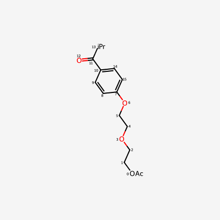 CC(=O)OCCOCCOc1ccc(C(=O)C(C)C)cc1